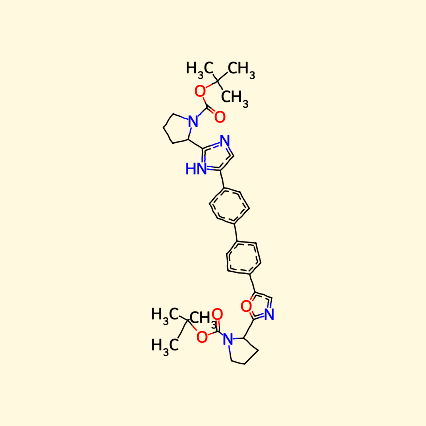 CC(C)(C)OC(=O)N1CCCC1c1ncc(-c2ccc(-c3ccc(-c4cnc(C5CCCN5C(=O)OC(C)(C)C)o4)cc3)cc2)[nH]1